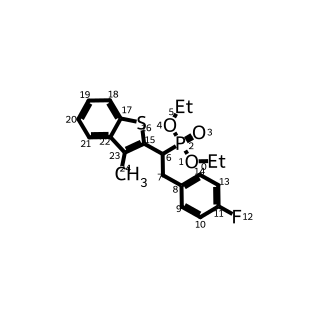 CCOP(=O)(OCC)C(Cc1ccc(F)cc1)c1sc2ccccc2c1C